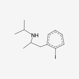 CC(C)NC(C)Cc1ccccc1I